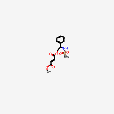 CC(C)OC(=O)/C=C/C(=O)OCC(NS(=O)(=O)C(C)(C)C)c1ccccc1